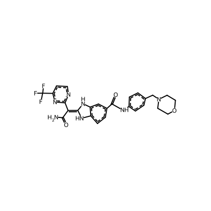 NC(=O)/C(=C1\Nc2ccc(C(=O)Nc3ccc(CN4CCOCC4)cc3)cc2N1)c1nccc(C(F)(F)F)n1